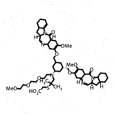 COCCOCCOCCN(CC(C)(C)SCC(=O)O)[C@@H]1CC(COC2=C(OC)C[C@H]3C(=O)N4C5=CCCCC5C[C@H]4C=NC3C2)C[C@H](COC2=C(OC)CC3C(=O)N4C5CCCC[C@@H]5C[C@@H]4C=N[C@@H]3C2)C1